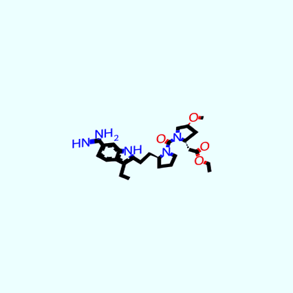 CCOC(=O)C[C@H]1C[C@@H](OC)CN1C(=O)N1CCC[C@H]1CCc1[nH]c2cc(C(=N)N)ccc2c1CC